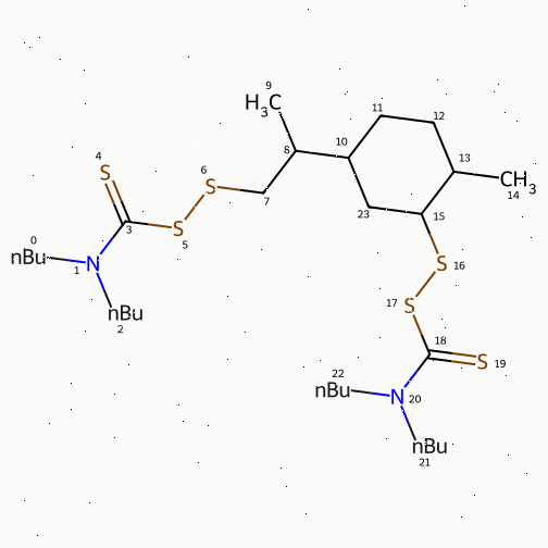 CCCCN(CCCC)C(=S)SSCC(C)C1CCC(C)C(SSC(=S)N(CCCC)CCCC)C1